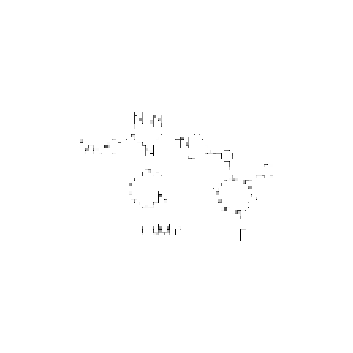 COc1ccc(-n2c(OC)nnc2N2CC(Oc3ccc(F)cc3Cl)C2)cn1